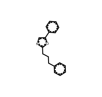 c1ccc(CCCc2ncc(-c3ccccc3)o2)cc1